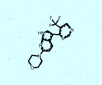 FC(F)(F)c1cn[c]nc1-c1c[nH]c2nc(N3CCOCC3)ccc12